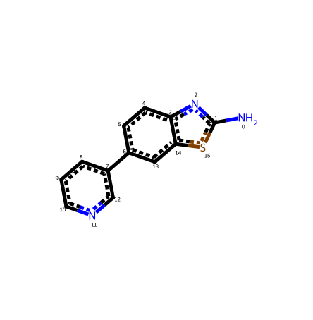 Nc1nc2ccc(-c3cccnc3)cc2s1